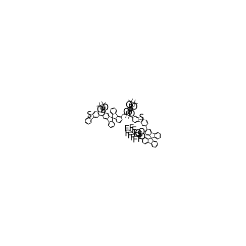 CC1(C)OB(B2OC(C)(Cc3cccc4c3-c3ccccc3C43c4ccccc4-c4cc(-c5ccc6sc7ccccc7c6c5)c(B5OC(C)(C)C(C)(C)O5)cc43)C(C)(c3ccc4c(c3)sc3ccc(-c5cc6c(cc5OS(=O)(=O)C(F)(F)C(F)(F)C(F)(F)C(F)(F)F)C5(c7ccccc7-c7ccccc75)c5ccccc5-6)cc34)O2)OC1(C)C